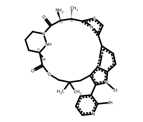 CCn1c(-c2cccnc2C(C)C)c2c3cc(ccc31)-c1csc(n1)[C@@H](C)[C@H](N)C(=O)N1CCC[C@H](N1)C(=O)OCC(C)(C)C2